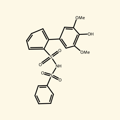 COc1cc(-c2ccccc2S(=O)(=O)NS(=O)(=O)c2ccccc2)cc(OC)c1O